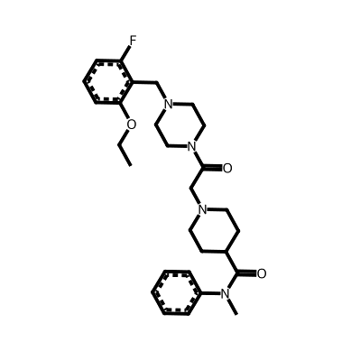 CCOc1cccc(F)c1CN1CCN(C(=O)CN2CCC(C(=O)N(C)c3ccccc3)CC2)CC1